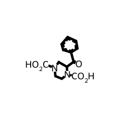 O=C(c1ccccc1)C1CN(C(=O)O)CCN1C(=O)O